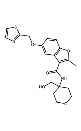 Cc1oc2ccc(OCc3nccs3)cc2c1C(=O)NC1(CO)CCOCC1